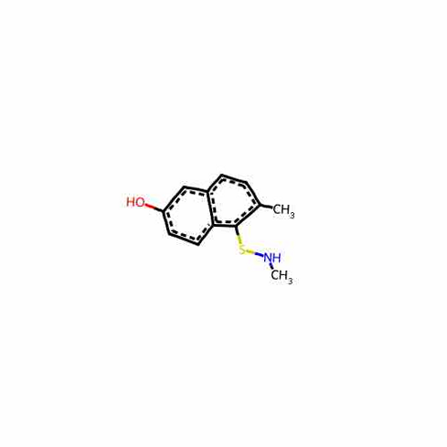 CNSc1c(C)ccc2cc(O)ccc12